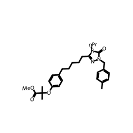 CCCn1c(CCCCCc2ccc(OC(C)(C)C(=O)OC)cc2)nn(Cc2ccc(C)cc2)c1=O